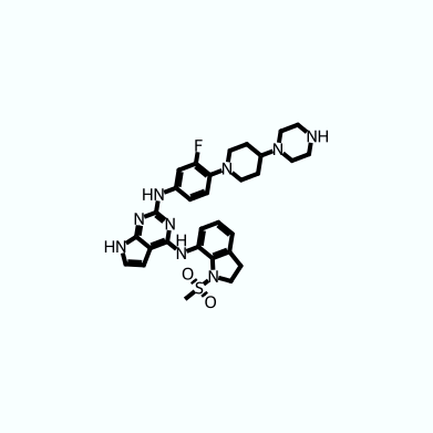 CS(=O)(=O)N1CCc2cccc(Nc3nc(Nc4ccc(N5CCC(N6CCNCC6)CC5)c(F)c4)nc4[nH]ccc34)c21